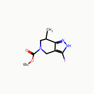 CC1CN(C(=O)OC(C)(C)C)Cc2c1n[nH]c2I